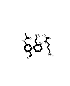 CC(=O)Nc1ccc(C=O)cc1.NCCC[C@@H](N)C(=O)O.NCCc1ccccc1